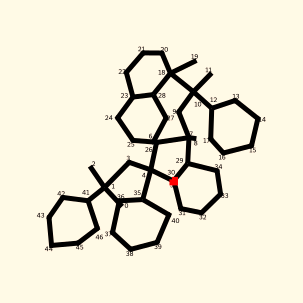 CC(C)(CC(C)(CC(C)(CC(C)(C1CCCCC1)C1(C)CCCC2CCCCC21)C1CCCCC1)C1CCCCC1)C1CCCCC1